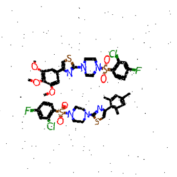 COc1cc(-c2csc(N3CCN(S(=O)(=O)c4ccc(F)cc4Cl)CC3)n2)cc(OC)c1OC.Cc1cc(C)c(-c2csc(N3CCN(S(=O)(=O)c4ccc(F)cc4Cl)CC3)n2)c(C)c1